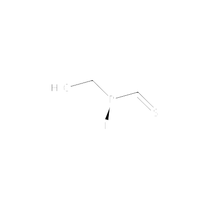 CC[P@](I)C=S